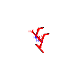 CCCCCCCCC(CCCCCCCC)OC(=O)CCCCCCCN(CCCCCCCC(=O)OCC(C)CCCCCCC)CCNC(=O)CCCC(=O)NCCN(CCCCCCCC(=O)O)CCCCCCCC(=O)OCC(C)CCCCCCC